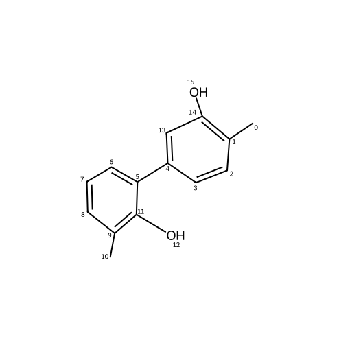 Cc1ccc(-c2cccc(C)c2O)cc1O